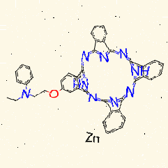 CCN(CCOc1ccc2c3nc4nc(nc5[nH]c(nc6nc(nc([nH]3)c2c1)-c1ccccc1-6)c1ccccc51)-c1ccccc1-4)c1ccccc1.[Zn]